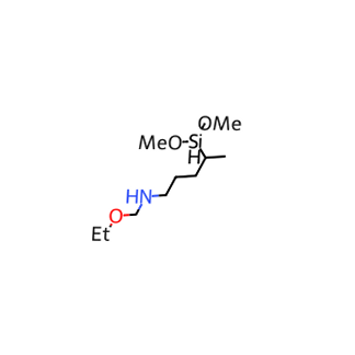 CCOCNCCCC(C)[SiH](OC)OC